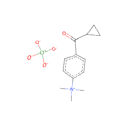 C[N+](C)(C)c1ccc(C(=O)C2CC2)cc1.[O-][Cl+3]([O-])([O-])[O-]